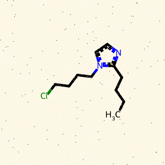 CCCCc1nccn1CCCCCl